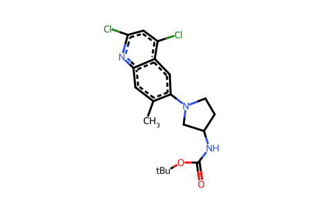 Cc1cc2nc(Cl)cc(Cl)c2cc1N1CCC(NC(=O)OC(C)(C)C)C1